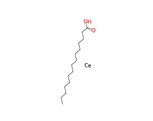 CCCCCCCCCCCCCCC(=O)O.[Ce]